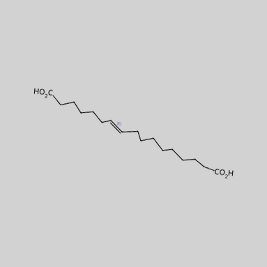 O=C(O)CCCCC/C=C/CCCCCCCCC(=O)O